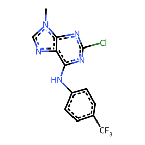 Cn1cnc2c(Nc3ccc(C(F)(F)F)cc3)nc(Cl)nc21